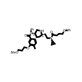 COCCCOc1cc(C(=O)N(C(C)C)[C@@H]2CC[C@H](CCN(C(=O)CCCOC(C)C)C3CC3)NC2)ccc1C